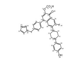 O=C(O)Oc1cn(-c2ccc(Cn3ccnn3)cc2)c2cc(N3CCN(c4ccc(O)cc4)CC3)c(F)cc2c1=O